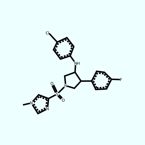 Cn1cnc(S(=O)(=O)N2CC(Nc3ccc(Cl)cc3)C(c3ccc(F)cc3)C2)c1